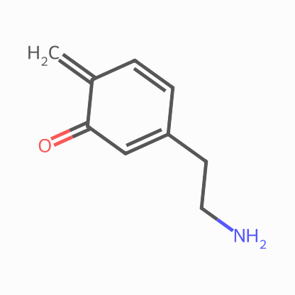 C=C1C=CC(CCN)=CC1=O